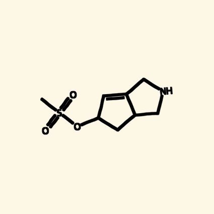 CS(=O)(=O)OC1C=C2CNCC2C1